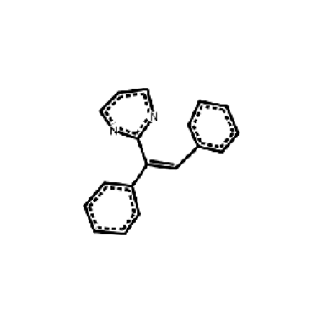 C(=C(c1ccccc1)c1ncccn1)c1ccccc1